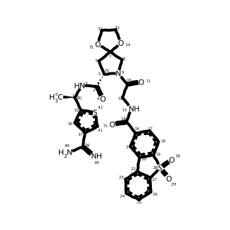 C[C@@H](NC(=O)[C@@H]1CC2(CN1C(=O)CNC(=O)c1ccc3c(c1)-c1ccccc1S3(=O)=O)OCCO2)c1cc(C(=N)N)cs1